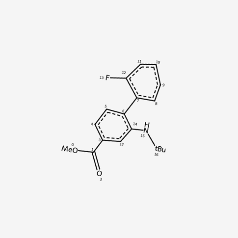 COC(=O)c1ccc(-c2ccccc2F)c(NC(C)(C)C)c1